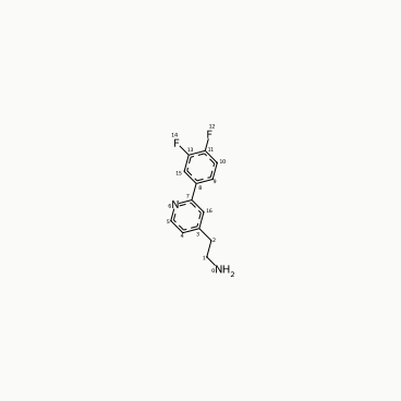 NCCc1ccnc(-c2ccc(F)c(F)c2)c1